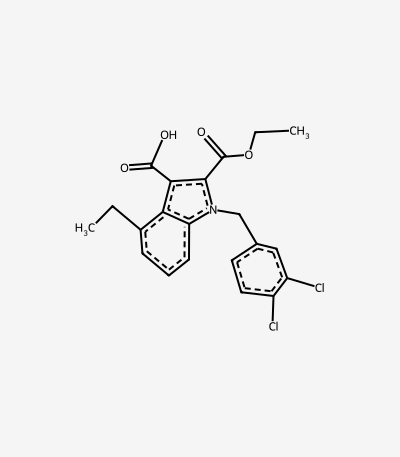 CCOC(=O)c1c(C(=O)O)c2c(CC)cccc2n1Cc1ccc(Cl)c(Cl)c1